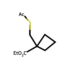 CCOC(=O)C1(CSC(C)=O)CCC1